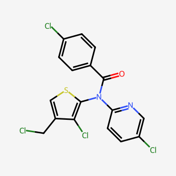 O=C(c1ccc(Cl)cc1)N(c1ccc(Cl)cn1)c1scc(CCl)c1Cl